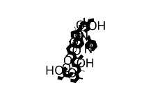 CC[C@@H](C(=O)[C@@H](C)[C@@H](O)[C@H](C)[C@@H]1O[C@@H]([C@@H](CC)C(=O)O)CC[C@@H]1C)[C@H]1O[C@]2(C=C[C@@H](NCc3cccnc3)[C@]3(CC[C@@](C)([C@H]4CC[C@](O)(CC)[C@H](C)O4)O3)O2)[C@H](C)C[C@@H]1C